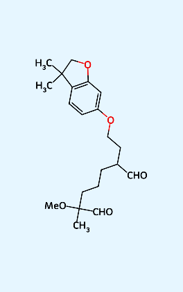 COC(C)(C=O)CCCC(C=O)CCOc1ccc2c(c1)OCC2(C)C